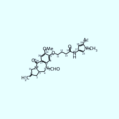 C=C1CC2CN(C=O)c3cc(OCCCC(=O)Nc4cc(C(C)=O)n(C)c4)c(OC)cc3C(=O)N2C1